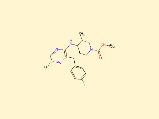 CC1CN(C(=O)OC(C)(C)C)CCC1Nc1ncc(C(F)(F)F)nc1Cc1ccc(F)cc1